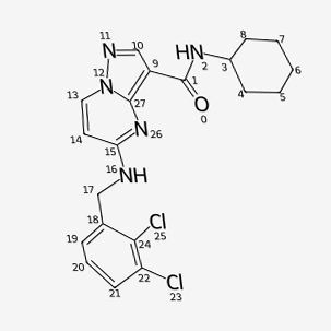 O=C(NC1CCCCC1)c1cnn2ccc(NCc3cccc(Cl)c3Cl)nc12